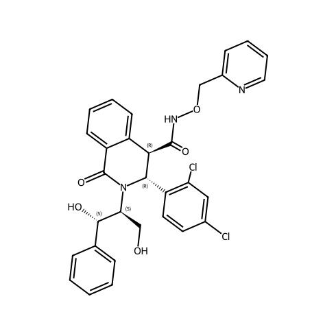 O=C(NOCc1ccccn1)[C@@H]1c2ccccc2C(=O)N([C@@H](CO)[C@@H](O)c2ccccc2)[C@H]1c1ccc(Cl)cc1Cl